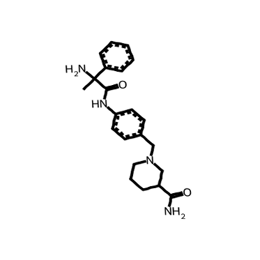 CC(N)(C(=O)Nc1ccc(CN2CCCC(C(N)=O)C2)cc1)c1ccccc1